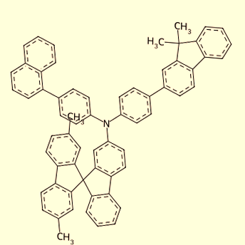 Cc1ccc2c(c1)C1(c3ccccc3-c3ccc(N(c4ccc(-c5ccc6c(c5)C(C)(C)c5ccccc5-6)cc4)c4ccc(-c5cccc6ccccc56)cc4)cc31)c1cc(C)ccc1-2